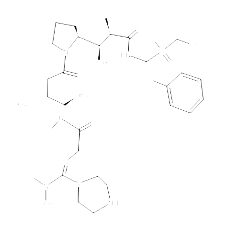 CC[C@H](C)[C@@H]([C@@H](CC(=O)N1CCC[C@H]1[C@H](OC)[C@@H](C)C(=O)N[C@@H](Cc1ccccc1)P(=O)(O)CC(=O)O)OC)N(C)C(=O)[C@@H](N=C(N(C)C)N1CCNCC1)C(C)C